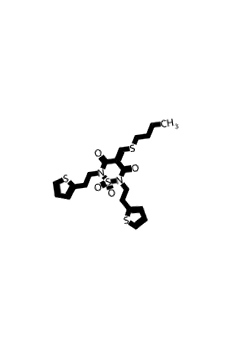 CCCCSC=C1C(=O)N(CCc2cccs2)S(=O)(=O)N(CCc2cccs2)C1=O